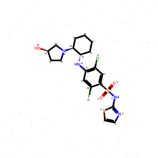 O=S(=O)(Nc1nccs1)c1cc(Cl)c(N[C@H]2CCCC[C@@H]2N2CC[C@@H](O)C2)cc1F